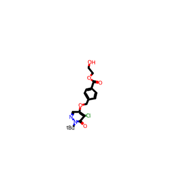 CC(C)(C)n1ncc(OCc2ccc(C(=O)OCCO)cc2)c(Cl)c1=O